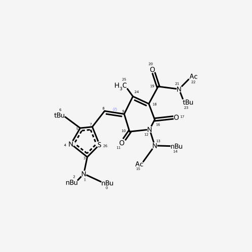 CCCCN(CCCC)c1nc(C(C)(C)C)c(/C=C2\C(=O)N(N(CCCC)C(C)=O)C(=O)C(C(=O)N(C(C)=O)C(C)(C)C)=C2C)s1